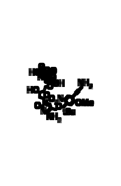 COc1cc([C@@H](OCc2cn([C@H]3C[C@@H](O)[C@@H](COP(=O)(O)OP(=O)(O)OP(=O)(O)O)O3)c(=O)nc2N)C(C)(C)C)c([N+](=O)[O-])cc1C#CCN